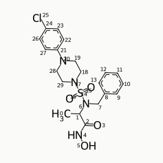 CC(C(=O)NO)N(Cc1ccccc1)S(=O)(=O)N1CCN(c2ccc(Cl)cc2)CC1